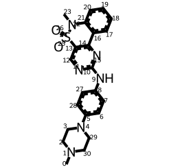 CN1CCN(c2ccc(Nc3ncc4c(n3)-c3ccccc3N(C)S4(=O)=O)cc2)CC1